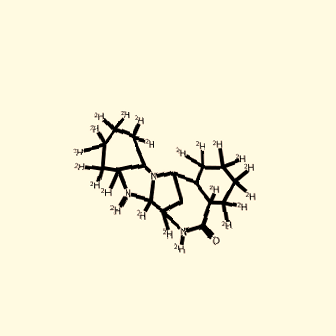 [2H]N1C(=O)C2([2H])C(C3CC1([2H])C1([2H])N3C3C([2H])([2H])C([2H])([2H])C([2H])([2H])C([2H])([2H])C3([2H])N1[2H])C([2H])([2H])C([2H])([2H])C([2H])([2H])C2([2H])[2H]